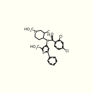 CC1CN(C(=O)O)CCC1N(C(=O)c1ccc(Cl)cc1Cl)c1cc(-c2ccccc2)sc1C(=O)O